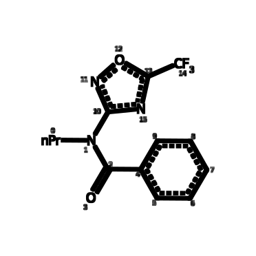 CCCN(C(=O)c1ccccc1)c1noc(C(F)(F)F)n1